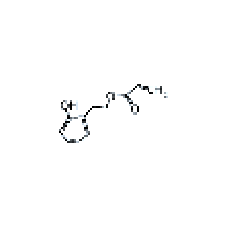 C=CC(=O)OCCc1c[c]ccc1O